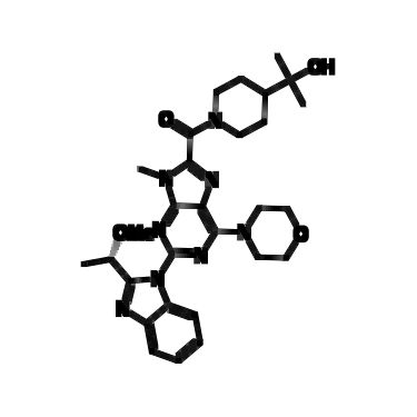 CO[C@@H](C)c1nc2ccccc2n1-c1nc(N2CCOCC2)c2nc(C(=O)N3CCC(C(C)(C)O)CC3)n(C)c2n1